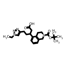 CCn1cc(CCC(CC(=O)O)c2cccc3c2CCN(C(=O)OC(C)(C)C)C3)nn1